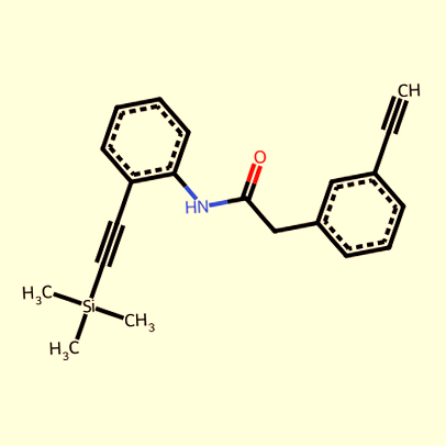 C#Cc1cccc(CC(=O)Nc2ccccc2C#C[Si](C)(C)C)c1